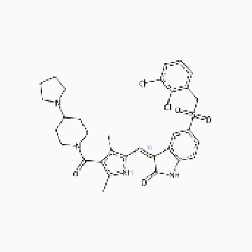 Cc1[nH]c(/C=C2\C(=O)Nc3ccc(S(=O)(=O)Cc4cccc(Cl)c4Cl)cc32)c(C)c1C(=O)N1CCC(N2CCCC2)CC1